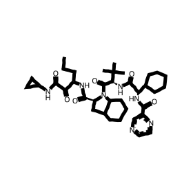 CCCC(NC(=O)[C@@H]1CC2CCCCC2N1C(=O)[C@@H](NC(=O)[C@@H](NC(=O)c1cnccn1)C1CCCCC1)C(C)(C)C)C(=O)C(=O)NC1CC1